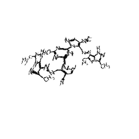 [C-]#[N+]c1cnn(-c2nc(O)nc(-n3ncc(C#N)c3/N=N/c3c(C)nn4c(C)n[nH]c34)n2)c1/N=N/c1c(C)nn2c(C)n[nH]c12